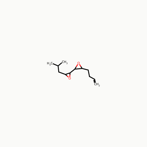 C=CCCC1OC1C1OC1CC(C)C